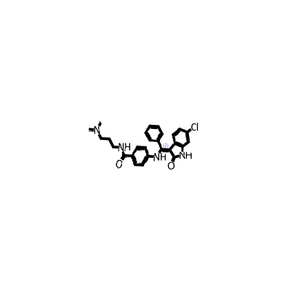 CN(C)CCCNC(=O)c1ccc(N/C(=C2\C(=O)Nc3cc(Cl)ccc32)c2ccccc2)cc1